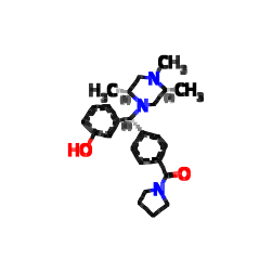 C[C@@H]1CN([C@H](c2ccc(C(=O)N3CCCC3)cc2)c2cccc(O)c2)[C@H](C)CN1C